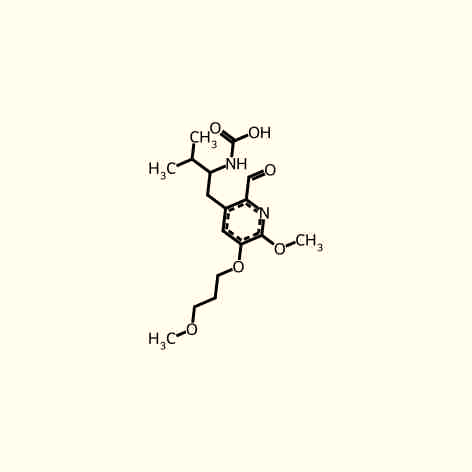 COCCCOc1cc(CC(NC(=O)O)C(C)C)c(C=O)nc1OC